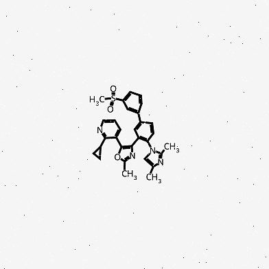 Cc1cn(-c2ccc(-c3cccc(S(C)(=O)=O)c3)cc2-c2nc(C)oc2-c2cccnc2C2CC2)c(C)n1